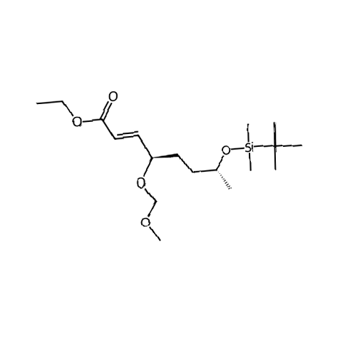 CCOC(=O)C=C[C@@H](CC[C@@H](C)O[Si](C)(C)C(C)(C)C)OCOC